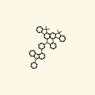 CC1(C)c2ccccc2-c2cc(N(c3cccc(-c4cccc5c4c4ccccc4n5-c4ccccc4)c3)c3ccccc3-c3cccc4c3-c3ccccc3C4(C)C)ccc21